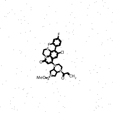 C=CC(=O)N1CCN(c2cc(=O)n3c4c(c(-c5ccc(F)cc5F)c(Cl)cc24)SCC3)C2CN(SOC)CC21